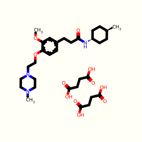 COc1cc(CCC(=O)N[C@H]2CC[C@H](C)CC2)ccc1OCCN1CCN(C)CC1.O=C(O)CCC(=O)O.O=C(O)CCC(=O)O